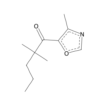 CCCC(C)(C)C(=O)c1ocnc1C